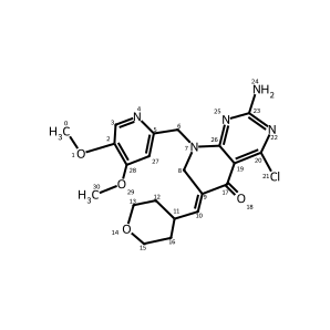 COc1cnc(CN2C/C(=C\C3CCOCC3)C(=O)c3c(Cl)nc(N)nc32)cc1OC